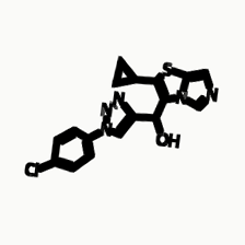 OC(c1cn(-c2ccc(Cl)cc2)nn1)c1c(C2CC2)sc2cncn12